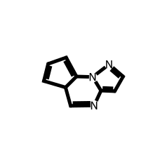 C1=CC2C=Nc3ccnn3C2=C1